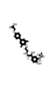 Cc1cc(-c2ccc(OCC(=O)O)cc2)cc(C)c1OCCN[C@@H](C)[C@@H](O)c1ccc(O)c(NS(C)(=O)=O)c1